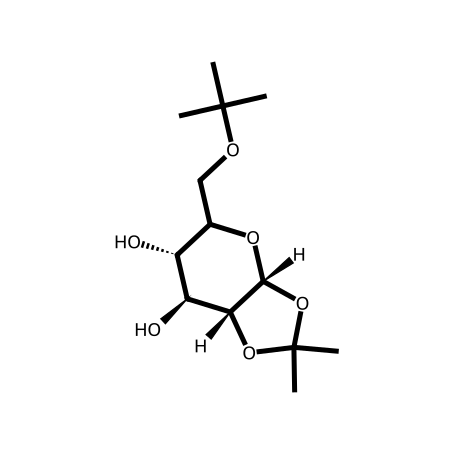 CC(C)(C)OCC1O[C@@H]2OC(C)(C)O[C@@H]2[C@@H](O)[C@@H]1O